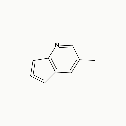 Cc1cnc2c(c1)C=C=C2